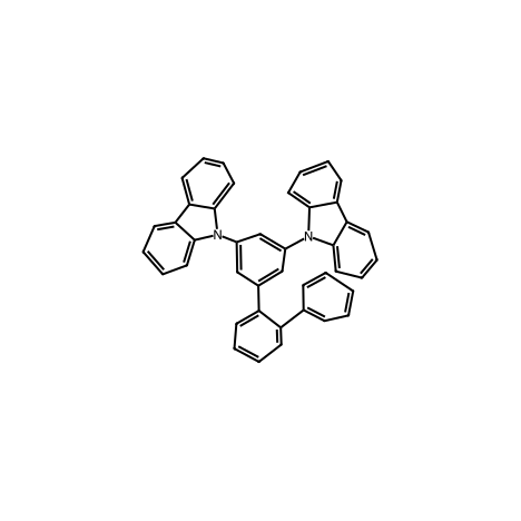 c1ccc(-c2ccccc2-c2cc(-n3c4ccccc4c4ccccc43)cc(-n3c4ccccc4c4ccccc43)c2)cc1